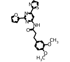 COc1ccc(CCC(=O)Nc2cc(-c3nccs3)nc(-c3ccco3)n2)cc1OC